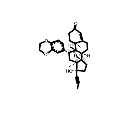 CC#C[C@]1(O)CC[C@H]2[C@@H]3CCC4=CC(=O)CC[C@]4(C)[C@H]3[C@@H](c3ccc4c(c3)OCCO4)C[C@@]21C